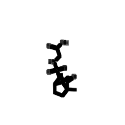 CC12CCC(C(S(=O)(=O)NCC(=O)O)C1=O)C2(C)C